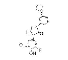 O=Cc1cc(C2NCN(c3cccc(N4CCCC4)c3)C2=O)cc(F)c1O